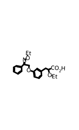 CCO/N=C(\COc1cccc(CC(OCC)C(=O)O)c1)c1ccccc1